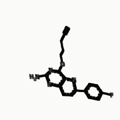 C#CCCCOc1nc(N)nc2ccc(-c3ccc(F)cc3)nc12